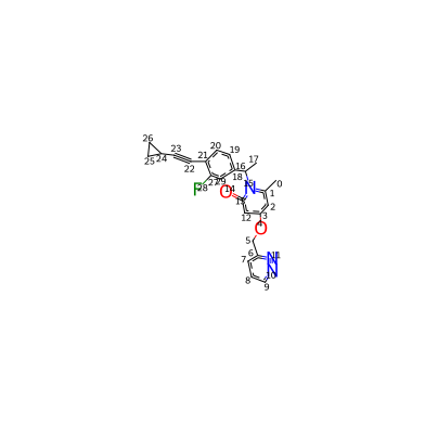 Cc1cc(OCc2cccnn2)cc(=O)n1C(C)c1ccc(C#CC2CC2)c(F)c1